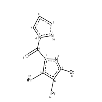 CCc1nn(C(=O)n2cccn2)c(C(C)C)c1C(C)C